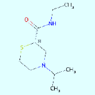 CCNC(=O)[C@@H]1CN(C(C)C)CCS1